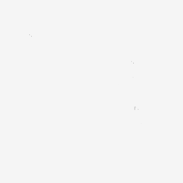 CCN(CC)CCOC(=O)c1ccc(NC(=O)c2sccc2NS(=O)(=O)c2ccccc2)cc1